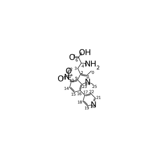 Cc1c(CC(N)C(=O)O)c2c([N+](=O)[O-])ccc(-c3ccncc3)c2n1C